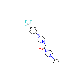 CCC(C)N1CCN(C(=O)CN2CCN(c3ccc(C(F)(F)F)cc3)CC2)CC1